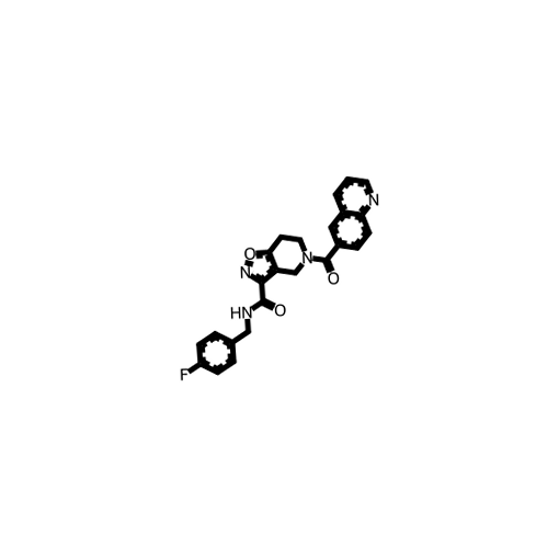 O=C(NCc1ccc(F)cc1)c1noc2c1CN(C(=O)c1ccc3ncccc3c1)CC2